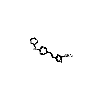 CC(=O)Nc1nc(C=Cc2ccc(NC3=NCCS3)cc2)cs1